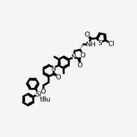 Cc1cc(N2C[C@H](CNC(=O)c3ccc(Cl)s3)OC2=O)cc(C)c1-n1cccc(CCO[Si](c2ccccc2)(c2ccccc2)C(C)(C)C)c1=O